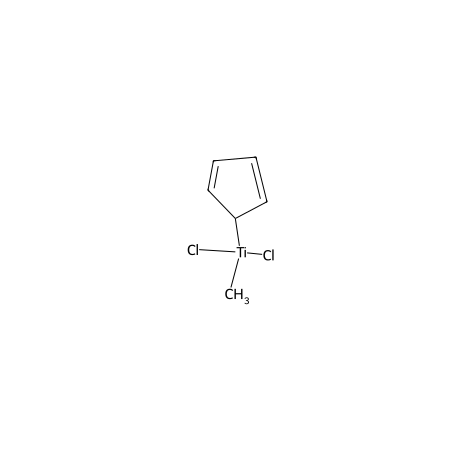 [CH3][Ti]([Cl])([Cl])[CH]1C=CC=C1